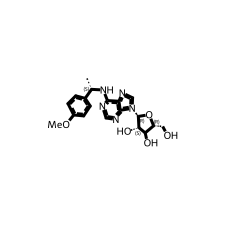 COc1ccc([C@H](C)Nc2ncnc3c2ncn3[C@@H]2O[C@H](CO)C(O)[C@@H]2O)cc1